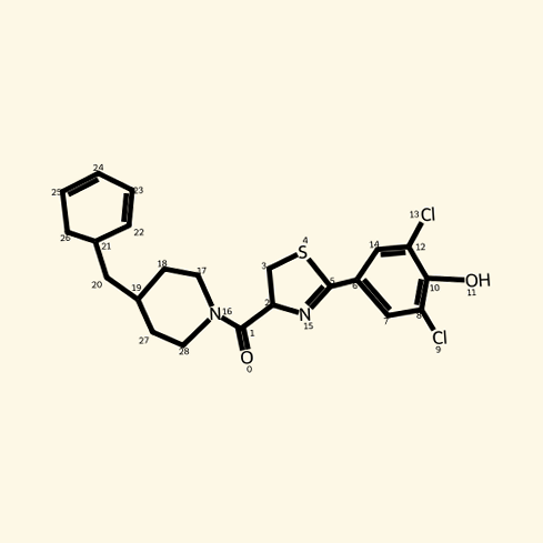 O=C(C1CSC(c2cc(Cl)c(O)c(Cl)c2)=N1)N1CCC(CC2C=CC=CC2)CC1